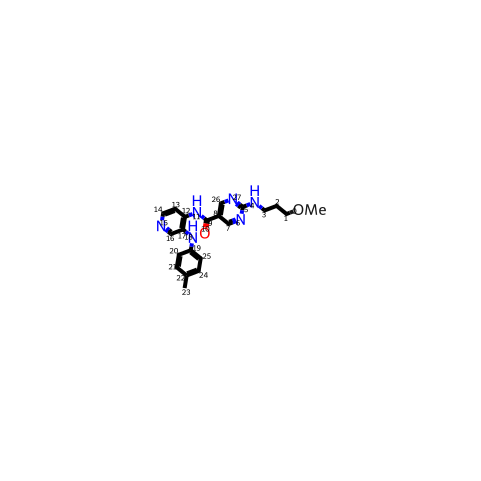 COCCCNc1ncc(C(=O)Nc2ccncc2Nc2ccc(C)cc2)cn1